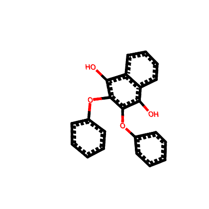 Oc1c(Oc2ccccc2)c(Oc2ccccc2)c(O)c2ccccc12